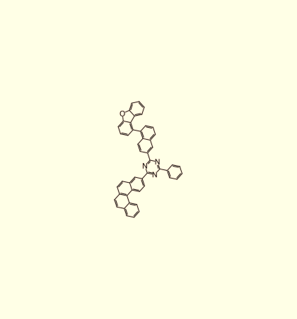 c1ccc(-c2nc(-c3ccc4c(-c5cccc6oc7ccccc7c56)cccc4c3)nc(-c3ccc4c(ccc5ccc6ccccc6c54)c3)n2)cc1